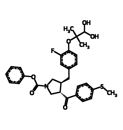 CSc1ccc(C(=O)[C@@H]2CN(C(=O)Oc3ccccc3)C[C@H]2Cc2ccc(OC(C)(C)C(O)O)c(F)c2)cc1